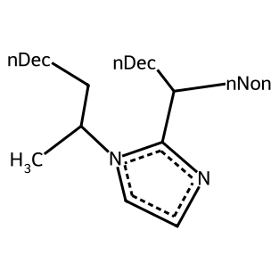 CCCCCCCCCCCC(C)n1ccnc1C(CCCCCCCCC)CCCCCCCCCC